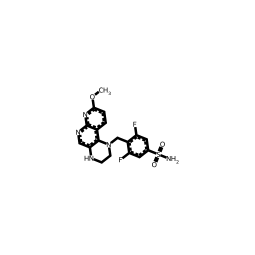 COc1ccc2c3c(cnc2n1)NCCN3Cc1c(F)cc(S(N)(=O)=O)cc1F